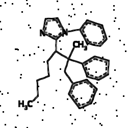 CCCCCC(c1nccn1-c1ccccc1)C(C)(Cc1ccccc1)c1ccccc1